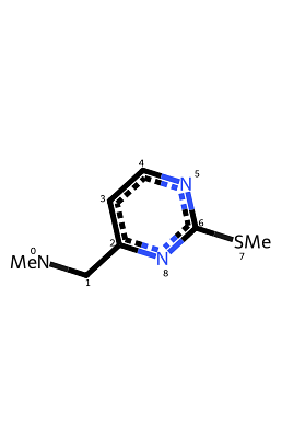 CNCc1ccnc(SC)n1